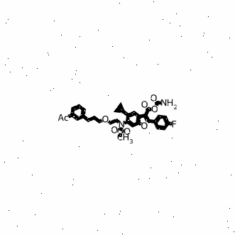 CC(=O)c1cccc(CCCOCCN(c2cc3oc(-c4ccc(F)cc4)c(C(=O)OC(N)=O)c3cc2C2CC2)S(C)(=O)=O)c1